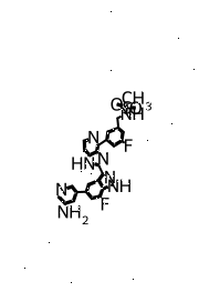 CS(=O)(=O)NCc1cc(F)cc(-c2nccc3[nH]c(-c4n[nH]c5c(F)cc(-c6cncc(N)c6)cc45)nc23)c1